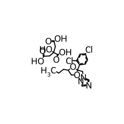 CCCC1COC(Cn2cncn2)(c2ccc(Cl)cc2Cl)O1.O=C(O)CC(O)(CC(=O)O)C(=O)O